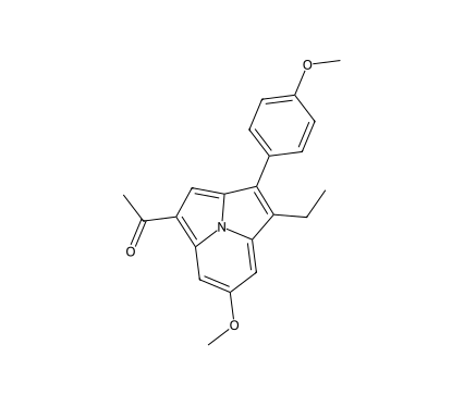 CCc1c(-c2ccc(OC)cc2)c2cc(C(C)=O)c3cc(OC)cc1n32